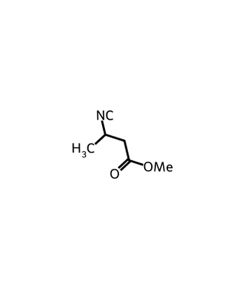 [C-]#[N+]C(C)CC(=O)OC